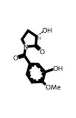 COc1ccc(C(=O)N2CC[C@H](O)C2=O)cc1O